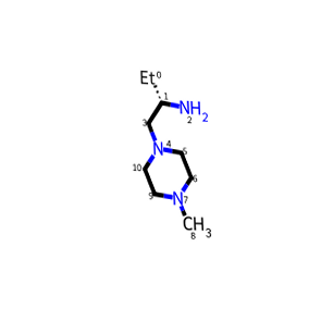 CC[C@H](N)CN1CCN(C)CC1